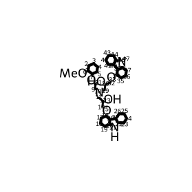 COc1ccccc1OCCN(CC(O)COc1cccc2[nH]c3ccccc3c12)CC(O)COc1cccc2c1c1ccccc1n2C